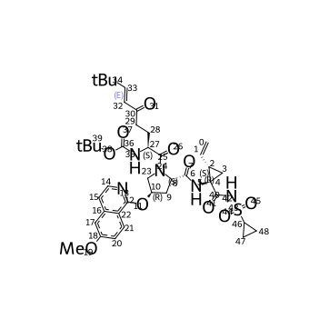 C=C[C@@H]1C[C@]1(NC(=O)[C@@H]1C[C@@H](Oc2nccc3cc(OC)ccc23)CN1C(=O)[C@H](CCC(=O)/C=C/C(C)(C)C)NC(=O)OC(C)(C)C)C(=O)NS(=O)(=O)C1CC1